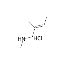 C/C=C(\C)CNC.Cl